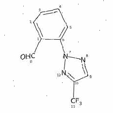 O=Cc1ccccc1-n1ncc(C(F)(F)F)n1